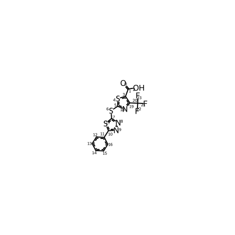 O=C(O)c1sc(Sc2nnc(-c3ccccc3)s2)nc1C(F)(F)F